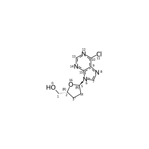 OC[C@H]1[CH][CH][C@H](n2cnc3c(Cl)ncnc32)O1